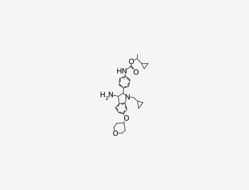 CC(OC(=O)Nc1ccc(C2C(N)c3ccc(OC4CCOCC4)cc3N2CC2CC2)cc1)C1CC1